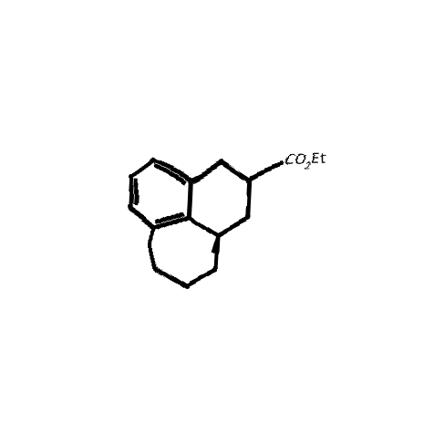 CCOC(=O)C1Cc2cccc3c2C(C)(CCC3)C1